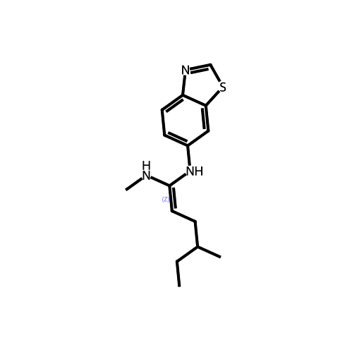 CCC(C)C/C=C(/NC)Nc1ccc2ncsc2c1